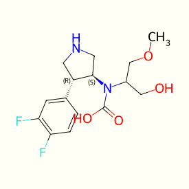 COCC(CO)N(C(=O)O)[C@@H]1CNC[C@H]1c1ccc(F)c(F)c1